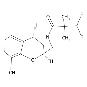 CC(C)(C(=O)N1C[C@@H]2C[C@H]1c1cccc(C#N)c1O2)C(F)F